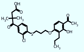 CCCc1c(OCCCSc2ccc(C(=O)C(C)(C)CC(=O)O)cc2Cl)ccc(C(C)=O)c1O